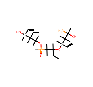 C=C[Si](C)(O)C(C)(CC)C(C)(C)OP(C)(=O)C(C)(C)C(C)(CC)O[Si](C)(C=C)C(C)(C)C(C)(O)P